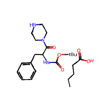 CC(C)(C)OC(=O)NC(Cc1ccccc1)C(=O)N1CCNCC1.CCCCC(=O)O